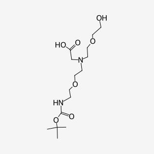 CC(C)(C)OC(=O)NCCOCCN(CCOCCO)CC(=O)O